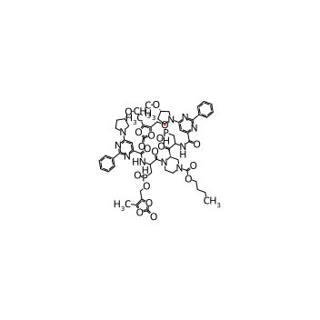 CCCCOC(=O)N1CCN(C(=O)C(C[PH](=O)OCc2oc(=O)oc2C)NC(=O)c2cc(N3CC[C@H](OC)C3)nc(-c3ccccc3)n2)[C@@H](C(=O)C(C[PH](=O)OCc2oc(=O)oc2C)NC(=O)c2cc(N3CC[C@H](OC)C3)nc(-c3ccccc3)n2)C1